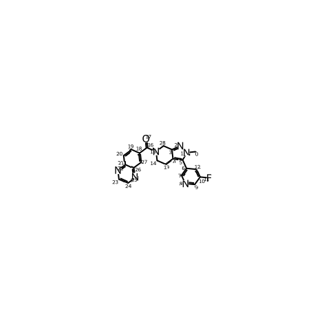 Cn1nc2c(c1-c1cncc(F)c1)CCN(C(=O)c1ccc3nccnc3c1)C2